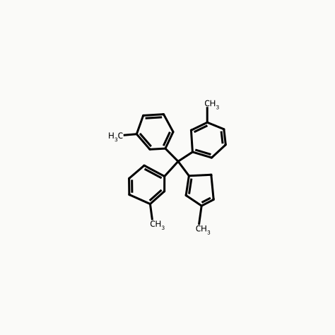 CC1=CCC(C(c2cccc(C)c2)(c2cccc(C)c2)c2cccc(C)c2)=C1